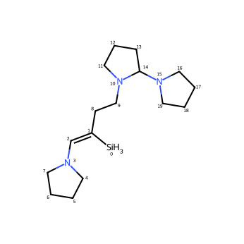 [SiH3]C(=CN1CCCC1)CCN1CCCC1N1CCCC1